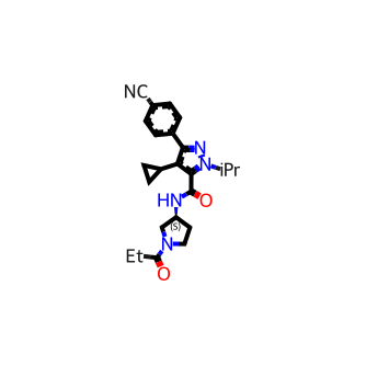 CCC(=O)N1CC[C@H](NC(=O)c2c(C3CC3)c(-c3ccc(C#N)cc3)nn2C(C)C)C1